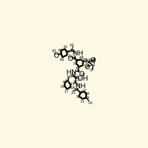 CCS(=O)(=O)Nc1cc(C(=O)N[C@@H](Cc2ccccc2)[C@H](O)CN[C@H](C)c2ccc(C)cc2)cc(C(=O)N[C@H](C)c2ccc(OC)cc2)c1